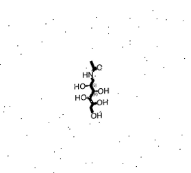 CC(=O)NC[C@H](O)[C@@H](O)[C@H](O)C(O)CO